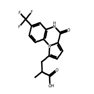 CC(Cc1ccc2c(=O)[nH]c3cc(C(F)(F)F)ccc3n12)C(=O)O